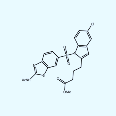 COC(=O)CCCc1cc2cc(Cl)ccc2n1S(=O)(=O)c1ccc2nc(NC(C)=O)sc2c1